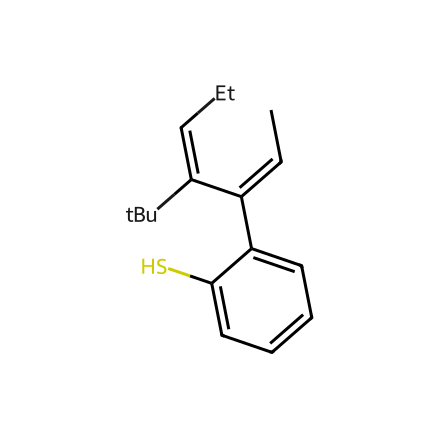 C/C=C(\C(=C/CC)C(C)(C)C)c1ccccc1S